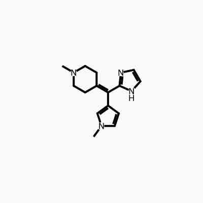 CN1CCC(=C(c2ccn(C)c2)c2ncc[nH]2)CC1